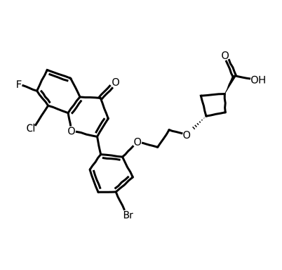 O=c1cc(-c2ccc(Br)cc2OCCO[C@H]2C[C@H](C(=O)O)C2)oc2c(Cl)c(F)ccc12